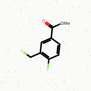 COC(=O)c1ccc(F)c(CF)c1